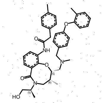 Cc1ccc(CC(=O)Nc2cccc3c2O[C@H](CN(C)Cc2ccc(Oc4ccccc4C)cc2)[C@H](C)CN([C@@H](C)CO)C3=O)cc1